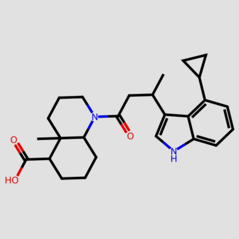 CC(CC(=O)N1CCCC2(C)C(C(=O)O)CCCC12)c1c[nH]c2cccc(C3CC3)c12